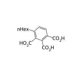 CCCCCCc1ccc(C(=O)O)c(C(=O)O)c1C(=O)O